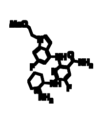 COCCn1ccc2c(Nc3nc(NC4CCCC[C@@H]4N)c(F)cc3C(N)=O)cc(F)cc21